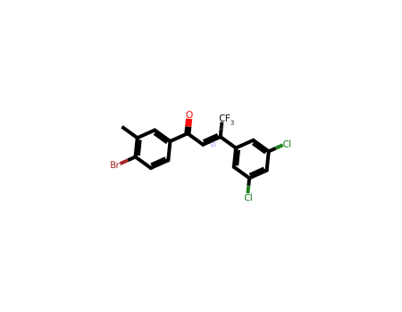 Cc1cc(C(=O)/C=C(/c2cc(Cl)cc(Cl)c2)C(F)(F)F)ccc1Br